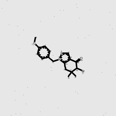 COc1ccc(Cn2ncc3c2CC(C)(C)C(Br)C3=O)cc1